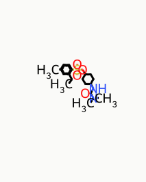 CCc1cc(C)ccc1S(=O)(=O)OC1CCC(NC(=O)N(C)C)CC1